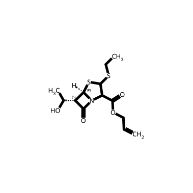 C=CCOC(=O)C1C(SCC)S[C@@H]2[C@@H](C(C)O)C(=O)N12